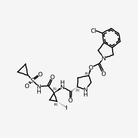 O=C(N[C@]1(C(=O)NS(=O)(=O)C2CC2)C[C@H]1I)[C@@H]1C[C@@H](OC(=O)N2Cc3cccc(Cl)c3C2)CN1